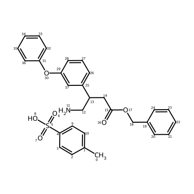 Cc1ccc(S(=O)(=O)O)cc1.NCC(CC(=O)OCc1ccccc1)c1cccc(Oc2ccccc2)c1